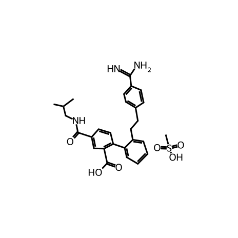 CC(C)CNC(=O)c1ccc(-c2ccccc2CCc2ccc(C(=N)N)cc2)c(C(=O)O)c1.CS(=O)(=O)O